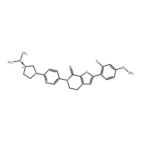 COc1ccc(-c2cc3c(s2)C(=O)N(c2ccc(N4CC[C@@H](N(C)C)C4)nc2)CC3)c(F)c1